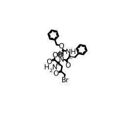 N[C@@](CC(=O)CBr)(NC(=O)[C@H](Cc1ccccc1)NC(=O)OCc1ccccc1)C(=O)O